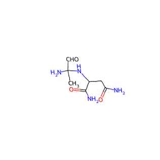 CC(N)(C=O)NC(CC(N)=O)C(N)=O